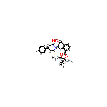 CC1(C)OB(c2cccc3c2CC(N2CCC(c4ccccc4)CC2)C(O)C3)OC1(C)C